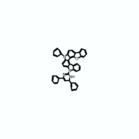 C1=C(c2ccccc2)N=C(n2c3ccccc3c3c4c5c6oc7ccccc7c6ccc5n(-c5ccccc5)c4ccc32)NC1c1ccccc1